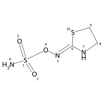 NS(=O)(=O)O/N=C1/NCCS1